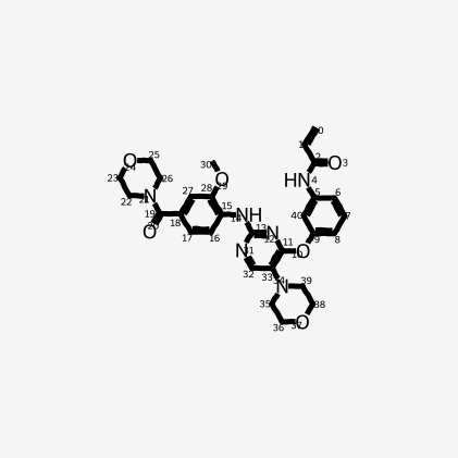 C=CC(=O)Nc1cccc(Oc2nc(Nc3ccc(C(=O)N4CCOCC4)cc3OC)ncc2N2CCOCC2)c1